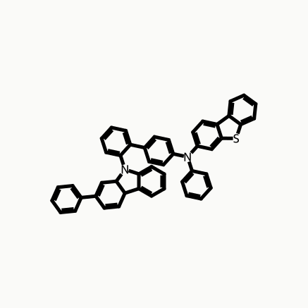 C1=CC2c3ccccc3N(c3ccccc3-c3ccc(N(c4ccccc4)c4ccc5c(c4)sc4ccccc45)cc3)C2C=C1c1ccccc1